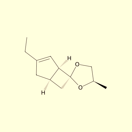 CCC1=C[C@@H]2[C@H](C1)C[C@@]21OC[C@@H](C)O1